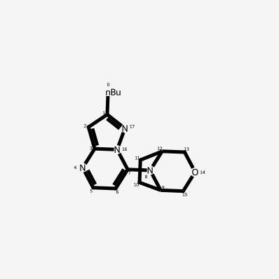 CCCCc1cc2nccc(N3C4CCC3COC4)n2n1